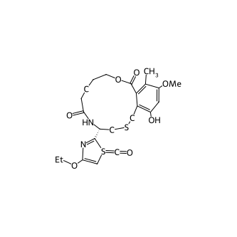 CCOC1=CS(=C=O)C([C@H]2CSCc3c(O)cc(OC)c(C)c3C(=O)OCCCCC(=O)N2)=N1